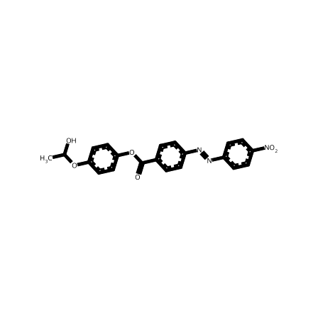 CC(O)Oc1ccc(OC(=O)c2ccc(N=Nc3ccc([N+](=O)[O-])cc3)cc2)cc1